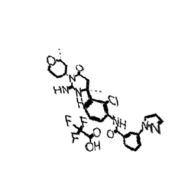 C[C@@H]1C[C@H](N2C(=N)N[C@](C)(c3cccc(NC(=O)c4cccc(-n5cccn5)c4)c3Cl)CC2=O)CCO1.O=C(O)C(F)(F)F